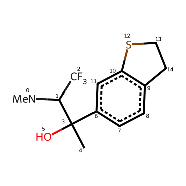 CNC(C(F)(F)F)C(C)(O)c1ccc2c(c1)SCC2